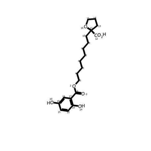 O=C(OCCCCCCCCC1(C(=O)O)CCCO1)c1cc(O)ccc1O